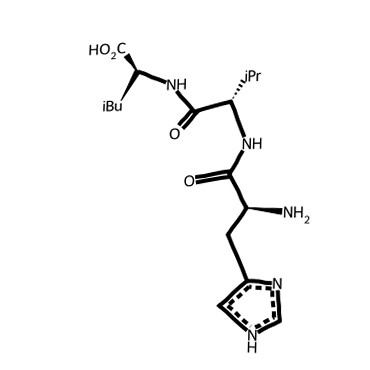 CC[C@H](C)[C@H](NC(=O)[C@@H](NC(=O)[C@@H](N)Cc1c[nH]cn1)C(C)C)C(=O)O